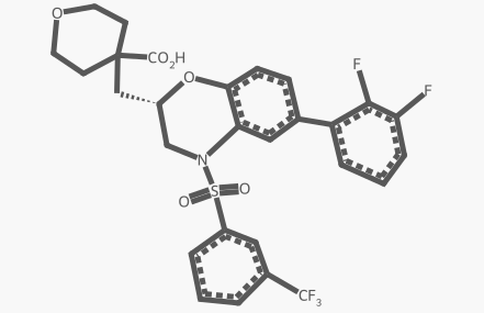 O=C(O)C1(C[C@H]2CN(S(=O)(=O)c3cccc(C(F)(F)F)c3)c3cc(-c4cccc(F)c4F)ccc3O2)CCOCC1